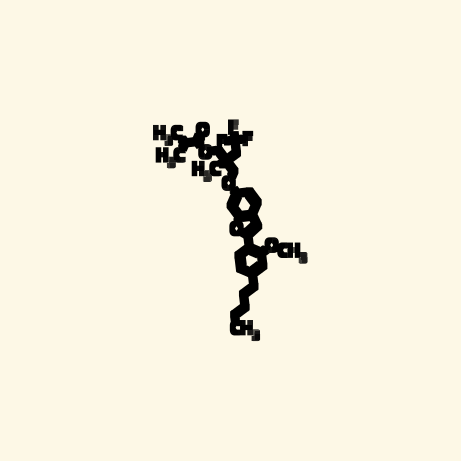 CCCCCc1ccc(-c2cc3ccc(OCC(C)(COC(=O)C(C)C)CC(F)(F)F)cc3o2)c(OC)c1